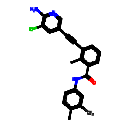 Cc1ccc(NC(=O)c2cccc(C#Cc3cnc(N)c(Cl)c3)c2C)cc1C(F)(F)F